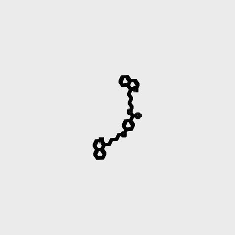 [O]C(OCCCCc1nccc2ccccc12)c1ccc(OCCCCc2nccc3ccccc23)cc1